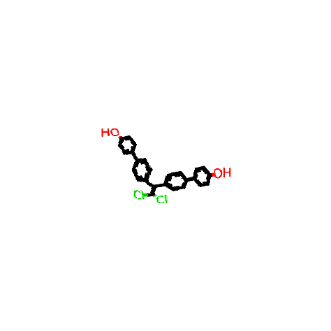 Oc1ccc(-c2ccc(C(c3ccc(-c4ccc(O)cc4)cc3)C(Cl)Cl)cc2)cc1